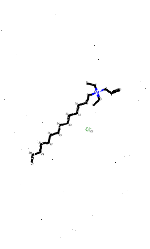 C=CC[N+](CC)(CC)CCCCCCCCCCCCCC.[Cl-]